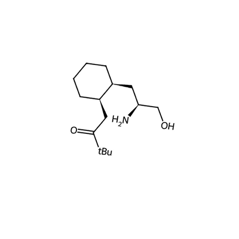 CC(C)(C)C(=O)C[C@H]1CCCC[C@H]1C[C@H](N)CO